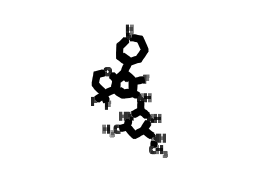 CNC1CC(C)NC(Nc2cc3c(c(C4=CCNCCC4)c2F)OCCC3(F)F)N1